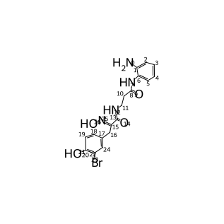 Nc1ccccc1NC(=O)CCNC(=O)C(Cc1ccc(O)c(Br)c1)=NO